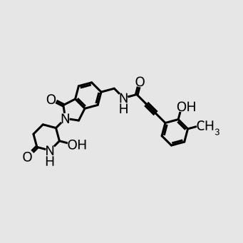 Cc1cccc(C#CC(=O)NCc2ccc3c(c2)CN(C2CCC(=O)NC2O)C3=O)c1O